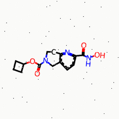 O=C(NO)c1ccc2c(n1)CCN(C(=O)OC1CCC1)C2